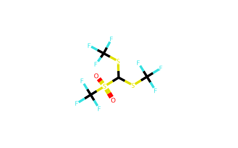 O=S(=O)(C(SC(F)(F)F)SC(F)(F)F)C(F)(F)F